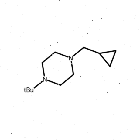 CC(C)(C)N1CCN(CC2CC2)CC1